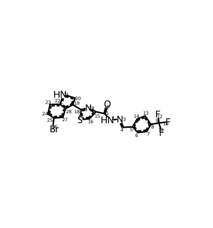 O=C(NN=Cc1ccc(C(F)(F)F)cc1)c1csc(-c2c[nH]c3ccc(Br)cc23)n1